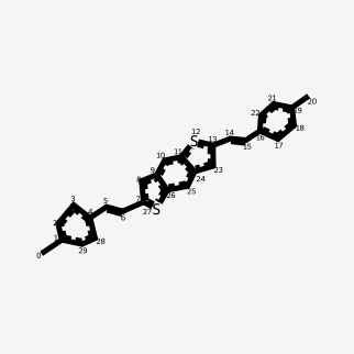 Cc1ccc(C=Cc2cc3cc4sc(C=Cc5ccc(C)cc5)cc4cc3s2)cc1